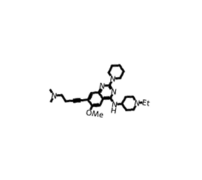 CCN1CCC(Nc2nc(N3CCCCC3)nc3cc(C#CCCN(C)C)c(OC)cc23)CC1